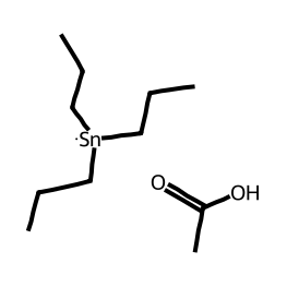 CC(=O)O.CC[CH2][Sn]([CH2]CC)[CH2]CC